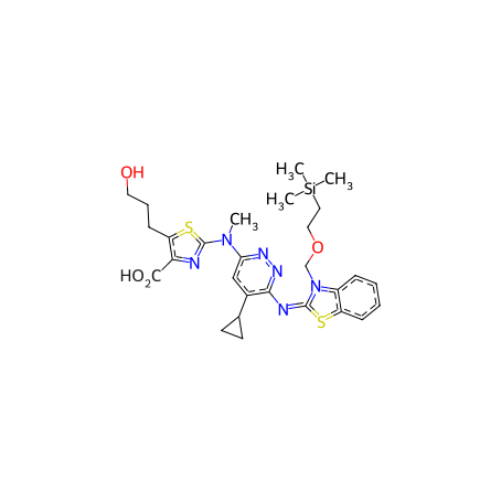 CN(c1cc(C2CC2)c(N=c2sc3ccccc3n2COCC[Si](C)(C)C)nn1)c1nc(C(=O)O)c(CCCO)s1